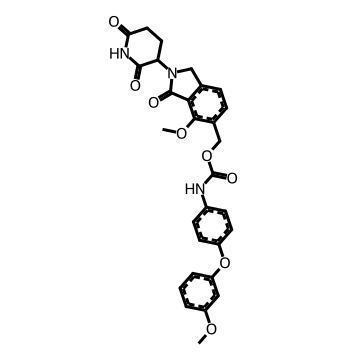 COc1cccc(Oc2ccc(NC(=O)OCc3ccc4c(c3OC)C(=O)N(C3CCC(=O)NC3=O)C4)cc2)c1